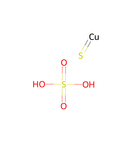 O=S(=O)(O)O.[S]=[Cu]